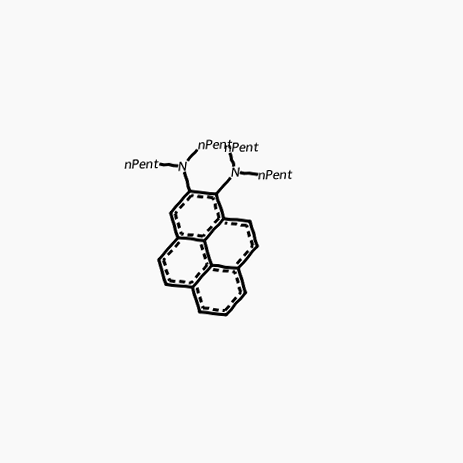 CCCCCN(CCCCC)c1cc2ccc3cccc4ccc(c1N(CCCCC)CCCCC)c2c34